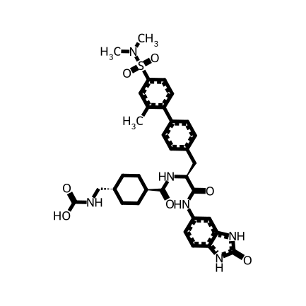 Cc1cc(S(=O)(=O)N(C)C)ccc1-c1ccc(C[C@H](NC(=O)[C@H]2CC[C@H](CNC(=O)O)CC2)C(=O)Nc2ccc3[nH]c(=O)[nH]c3c2)cc1